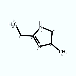 CCC1=NC(C)CN1